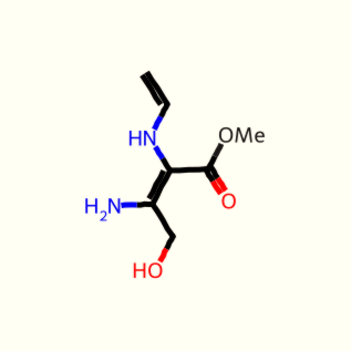 C=CN/C(C(=O)OC)=C(\N)CO